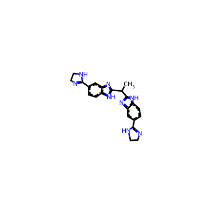 CC(c1nc2cc(C3=NCCN3)ccc2[nH]1)c1nc2cc(C3=NCCN3)ccc2[nH]1